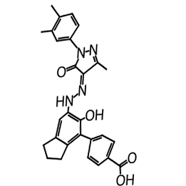 CC1=NN(c2ccc(C)c(C)c2)C(=O)/C1=N\Nc1cc2c(c(-c3ccc(C(=O)O)cc3)c1O)CCC2